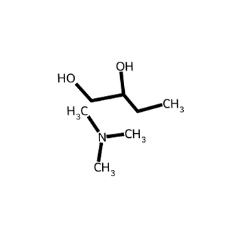 CCC(O)CO.CN(C)C